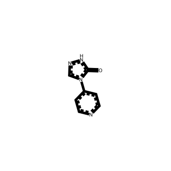 O=c1[nH]ncn1-c1ccncc1